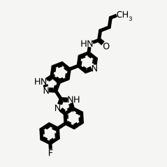 CCCCC(=O)Nc1cncc(-c2ccc3[nH]nc(-c4nc5c(-c6cccc(F)c6)cccc5[nH]4)c3c2)c1